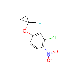 CC1(Oc2ccc([N+](=O)[O-])c(Cl)c2F)CC1